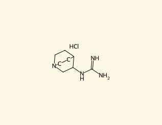 Cl.N=C(N)NC1CN2CCC1CC2